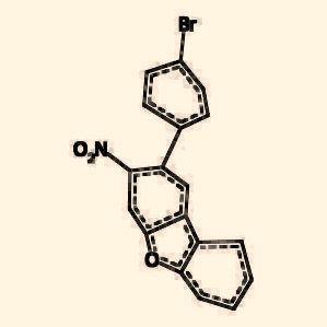 O=[N+]([O-])c1cc2oc3ccccc3c2cc1-c1ccc(Br)cc1